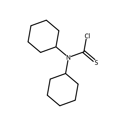 S=C(Cl)N(C1CCCCC1)C1CCCCC1